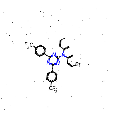 C=C(/C=C\C)N(C(=C)/C=C\CC)c1nc(-c2ccc(C(F)(F)F)cc2)nc(-c2ccc(C(F)(F)F)cc2)n1